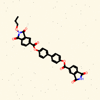 CCCON1C(=O)c2ccc(C(=O)Oc3ccc(-c4ccc(OC(=O)c5ccc6c(c5)C(=O)NC6=O)cc4)cc3)cc2C1=O